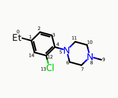 CCc1ccc(N2CCN(C)CC2)c(Cl)c1